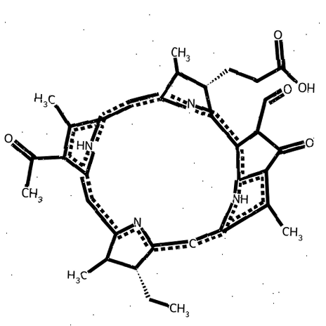 CC[C@H]1c2cc3[nH]c4c(c3C)C(=O)C(C=O)c4c3nc(cc4[nH]c(cc(n2)C1C)c(C(C)=O)c4C)C(C)[C@@H]3CCC(=O)O